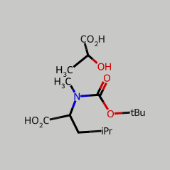 CC(C)CC(C(=O)O)N(C)C(=O)OC(C)(C)C.CC(O)C(=O)O